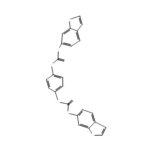 O=C(Nc1ccc(NC(=O)Nc2ccc3cc[nH]c3c2)cc1)Nc1ccc2cc[nH]c2c1